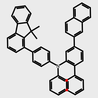 CC1(C)c2ccccc2-c2cccc(-c3ccc(N(c4ccccc4)c4cc(-c5ccc6ccccc6c5)ccc4-c4ccccc4)cc3)c21